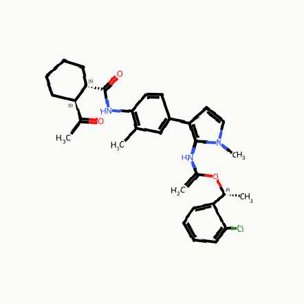 C=C(Nc1c(-c2ccc(NC(=O)[C@H]3CCCC[C@@H]3C(C)=O)c(C)c2)ccn1C)O[C@H](C)c1ccccc1Cl